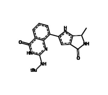 CC1NC(=O)c2cc(-c3cccc4c(=O)[nH]c(NC(C)(C)C)nc34)[nH]c21